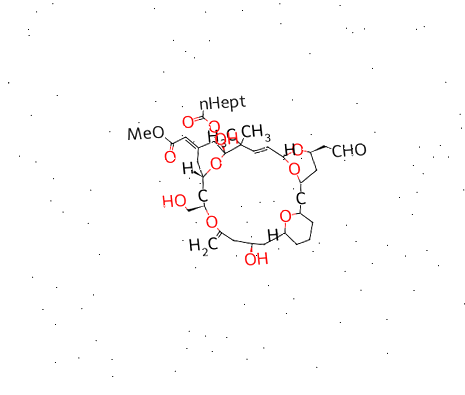 C=C1C[C@H](O)C[C@@H]2CCCC(CC3C[C@H](CC=O)O[C@H](/C=C/C(C)(C)[C@]4(O)O[C@@H](C/C(=C\C(=O)OC)[C@@H]4OC(=O)CCCCCCC)C[C@H](CO)O1)O3)O2